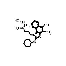 Cc1c(O)c2ccccc2c2c1sc(=NC1CCCCC1)n2CCCN(C)C.Cl.Cl